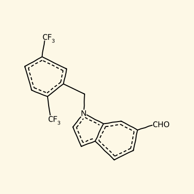 O=Cc1ccc2ccn(Cc3cc(C(F)(F)F)ccc3C(F)(F)F)c2c1